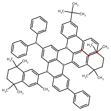 Cc1cc2c(cc1N1c3ccc(-c4ccccc4)cc3B3c4cc5c(cc4N(c4ccc(C(C)(C)C)cc4-c4ccccc4)c4cc(N(c6ccccc6)c6ccccc6)cc1c43)C(C)(C)CCC5(C)C)C(C)(C)CCC2(C)C